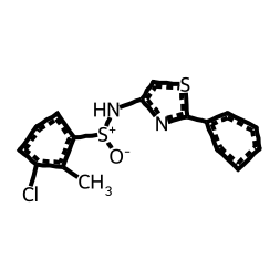 Cc1c(Cl)cccc1[S+]([O-])Nc1csc(-c2ccccc2)n1